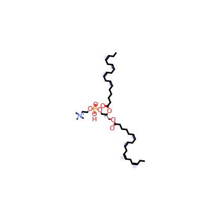 CC/C=C\C/C=C\C/C=C\C/C=C\CCCCC(=O)OC[C@H](COP(=O)(O)OCC[N+](C)(C)C)OC(=O)CCCC/C=C\C/C=C\C/C=C\C/C=C\CC